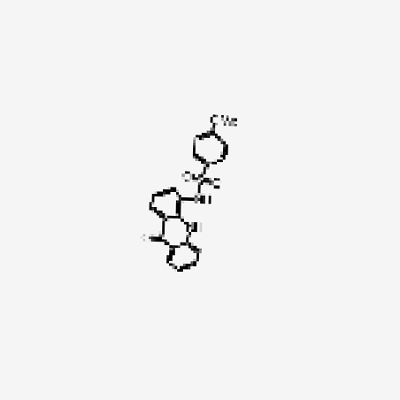 COc1ccc(S(=O)(=O)Nc2cccc3c(=O)c4ccccc4[nH]c23)cc1